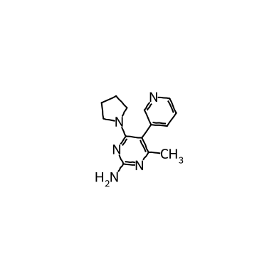 Cc1nc(N)nc(N2CCCC2)c1-c1cccnc1